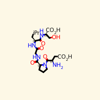 CC(C)C[C@H](NC(=O)CNC(=O)[C@@H]1CCCN1C(=O)[C@@H](N)CC(=O)O)C(=O)N[C@@H](CO)C(=O)O